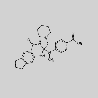 CN(c1ccc(C(=O)O)cc1)C1(CN2CCCCC2)NC(=O)c2cc3c(cc2N1)CCC3